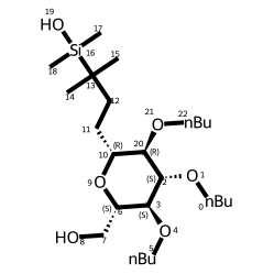 CCCCO[C@@H]1[C@@H](OCCCC)[C@H](CO)O[C@H](CCC(C)(C)[Si](C)(C)O)[C@H]1OCCCC